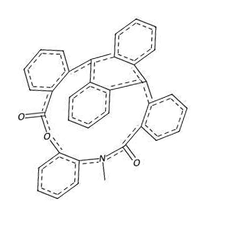 Cn1c(=O)c2ccccc2c2c3ccccc3c(c3ccccc3c(=O)oc3ccccc31)c1ccccc12